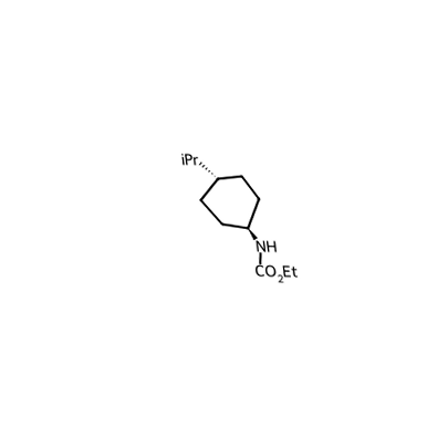 CCOC(=O)N[C@H]1CC[C@H](C(C)C)CC1